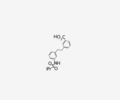 CC(C)S(=O)(=O)Nc1cccc(CCc2cccc(C(=O)O)c2)c1